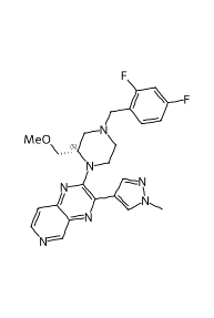 COC[C@@H]1CN(Cc2ccc(F)cc2F)CCN1c1nc2ccncc2nc1-c1cnn(C)c1